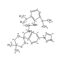 CC(C)c1cccc(C(C)C)c1NC(=O)NCC1(c2ccc(-n3ccnc3)cc2)OCC(C)(C)CO1